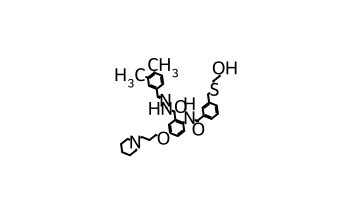 Cc1ccc(/C=N/NC(=O)c2cc(OCCCN3CCCCC3)ccc2NC(=O)c2cccc(CSCCO)c2)cc1C